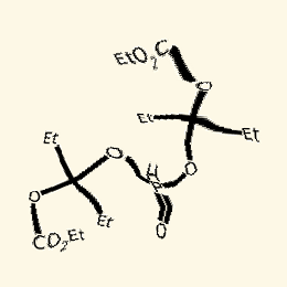 CCOC(=O)OC(CC)(CC)O[PH](=O)OC(CC)(CC)OC(=O)OCC